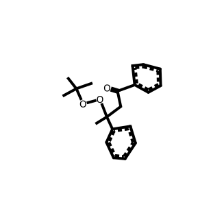 CC(C)(C)OOC(C)(CC(=O)c1ccccc1)c1ccccc1